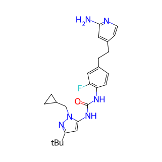 CC(C)(C)c1cc(NC(=O)Nc2ccc(CCc3ccnc(N)c3)cc2F)n(CC2CC2)n1